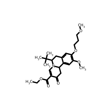 CCOC(=O)C1=CN2C(CC1=O)c1cc(OC)c(OCCCOC)cc1CC2C(C)(C)C